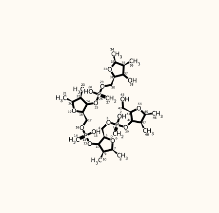 C=P(O)(OC[C@H]1O[C@@H](C)[C@@H](C)C1OP(=C)(O)OC[C@H]1O[C@@H](C)[C@@H](C)C1OP(=C)(O)OC[C@H]1O[C@@H](C)[C@@H](C)C1O)OC1[C@@H](CO)O[C@@H](C)[C@H]1C